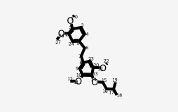 COc1ccc(CCc2cc(OC)c(OCCC(C)C)c(OC)c2)cc1OC